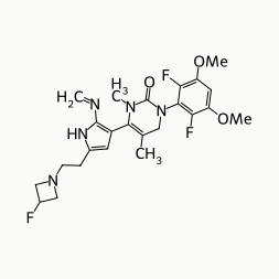 C=Nc1[nH]c(CCN2CC(F)C2)cc1C1=C(C)CN(c2c(F)c(OC)cc(OC)c2F)C(=O)N1C